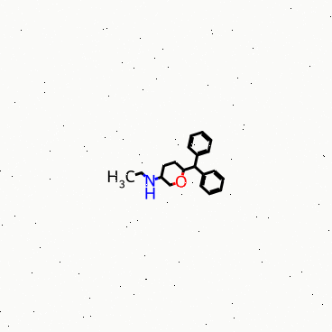 CCNC1CCC(C(c2ccccc2)c2ccccc2)OC1